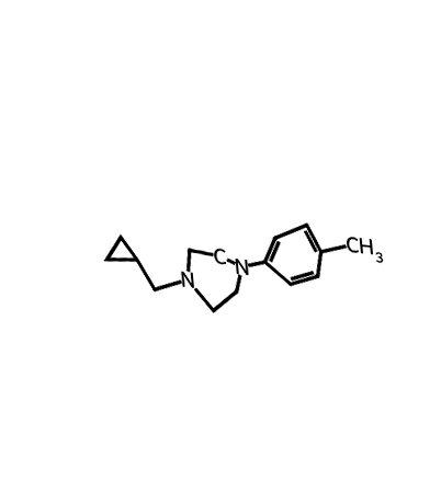 Cc1ccc(N2CCN(CC3CC3)CC2)cc1